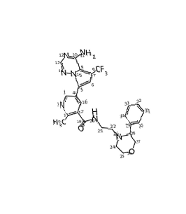 Cc1ncc(-c2cc(C(F)(F)F)c3c(N)ncnn23)cc1C(=O)NCCN1CCOCC1c1ccccc1